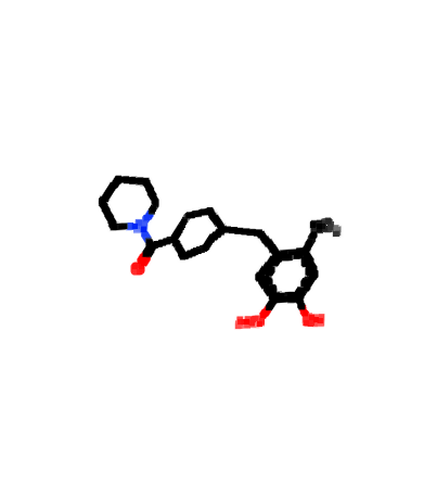 O=C(C1CCC(Cc2cc(O)c(O)cc2[N+](=O)[O-])CC1)N1CCCCC1